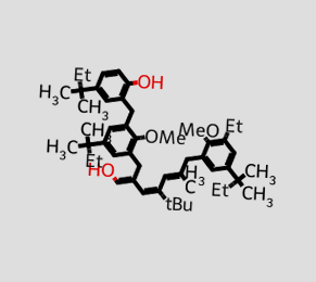 CCc1cc(C(C)(C)CC)cc(C/C(C)=C/C(=C\C(=C\O)Cc2cc(C(C)(C)CC)cc(Cc3cc(C(C)(C)CC)ccc3O)c2OC)C(C)(C)C)c1OC